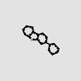 [c]1ccc2c(c1)oc1cc(-c3ccccc3)ccc12